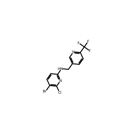 FC(F)(F)c1ccc(CNc2ccc(Br)c(Cl)n2)cn1